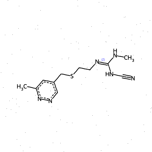 CN/C(=N/CCSCc1cnnc(C)c1)NC#N